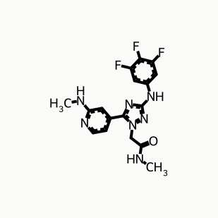 CNC(=O)Cn1nc(Nc2cc(F)c(F)c(F)c2)nc1-c1ccnc(NC)c1